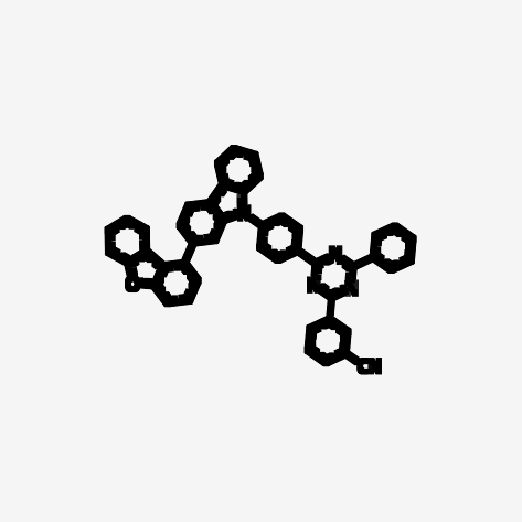 N#Cc1cccc(-c2nc(-c3ccccc3)nc(-c3ccc(-n4c5ccccc5c5ccc(-c6cccc7oc8ccccc8c67)cc54)cc3)n2)c1